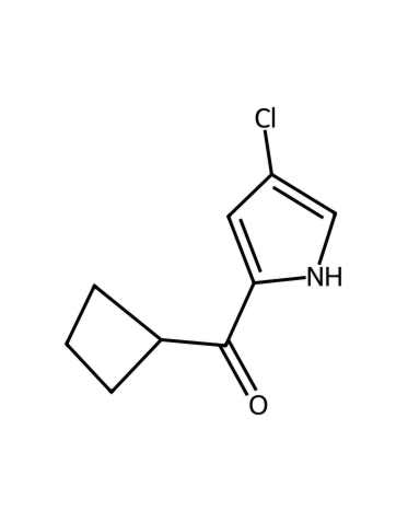 O=C(c1cc(Cl)c[nH]1)C1CCC1